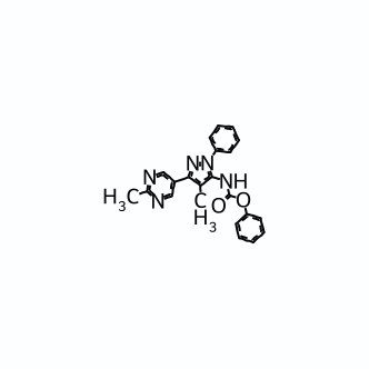 Cc1ncc(-c2nn(-c3ccccc3)c(NC(=O)Oc3ccccc3)c2C)cn1